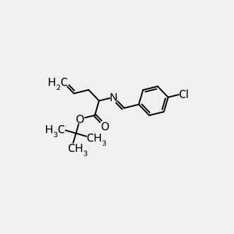 C=CCC(/N=C/c1ccc(Cl)cc1)C(=O)OC(C)(C)C